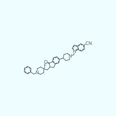 N#Cc1ccc2c(ccn2CN2CCC(c3ccc4c(c3)CC(CC3(F)CCN(Cc5ccccc5)CC3)C4=O)CC2)c1